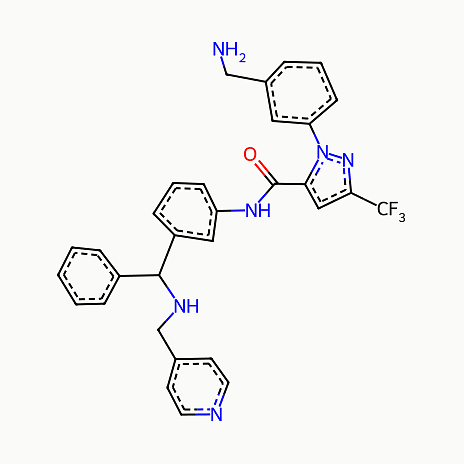 NCc1cccc(-n2nc(C(F)(F)F)cc2C(=O)Nc2cccc(C(NCc3ccncc3)c3ccccc3)c2)c1